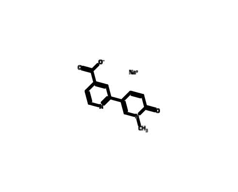 Cn1cc(-c2cc(C(=O)[O-])ccn2)ccc1=O.[Na+]